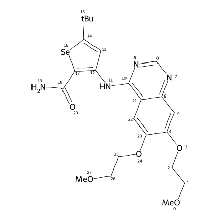 COCCOc1cc2ncnc(Nc3cc(C(C)(C)C)[se]c3C(N)=O)c2cc1OCCOC